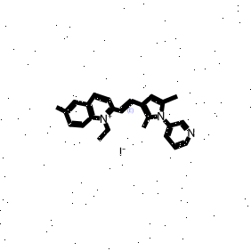 CC[n+]1c(/C=C/c2cc(C)n(-c3cccnc3)c2C)ccc2cc(C)ccc21.[I-]